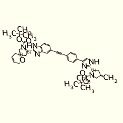 C=C1C[C@@H](c2nc(-c3ccc(C#Cc4ccc5[nH]c([C@@H]6C[C@@]7(CC=CCO7)CN6C(=O)OC(C)(C)C)nc5c4)cc3)c[nH]2)N(C(=O)OC(C)(C)C)C1